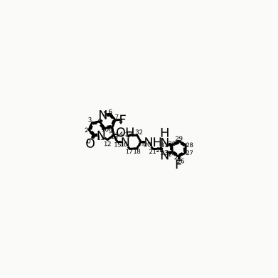 O=c1ccc2ncc(F)c3c2n1C[C@@]3(O)CN1CCC(NCc2nc3c(F)cccc3[nH]2)CC1